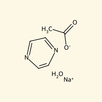 CC(=O)[O-].O.[Na+].c1cnccn1